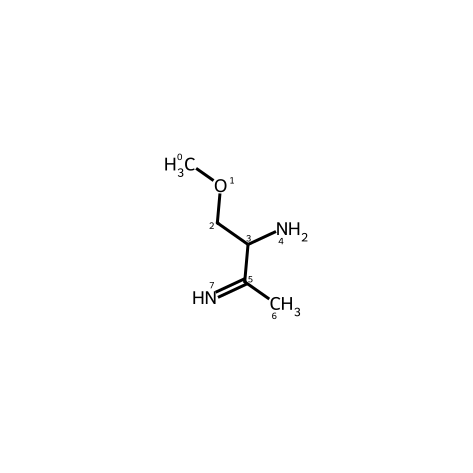 COCC(N)C(C)=N